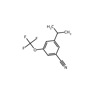 C[C](C)c1cc(C#N)cc(OC(F)(F)F)c1